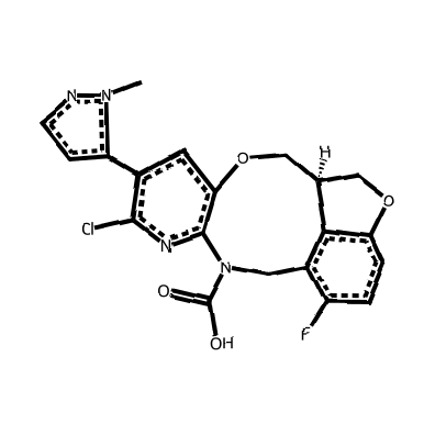 Cn1nccc1-c1cc2c(nc1Cl)N(C(=O)O)Cc1c(F)ccc3c1[C@@H](CO2)CO3